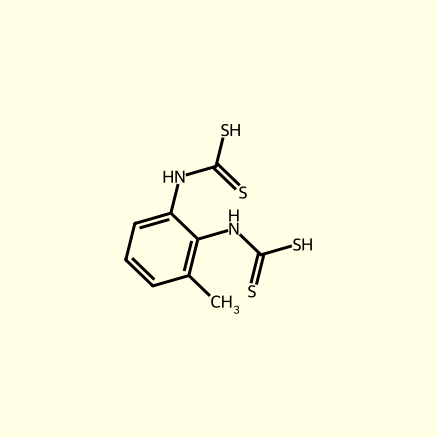 Cc1cccc(NC(=S)S)c1NC(=S)S